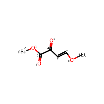 CCCCOC(=O)C(=O)C=COCC